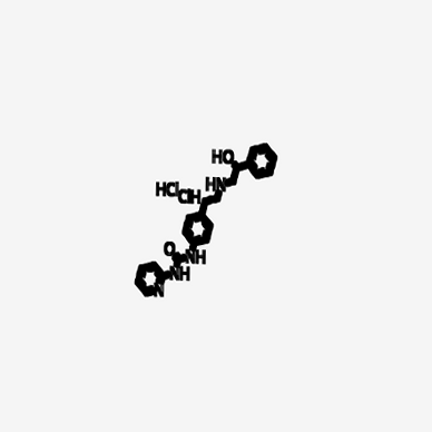 Cl.Cl.O=C(Nc1ccc(CCNCC(O)c2ccccc2)cc1)Nc1ccccn1